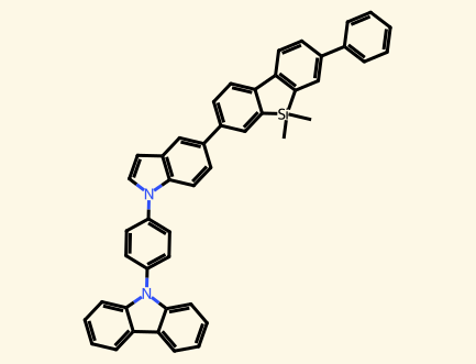 C[Si]1(C)c2cc(-c3ccccc3)ccc2-c2ccc(-c3ccc4c(ccn4-c4ccc(-n5c6ccccc6c6ccccc65)cc4)c3)cc21